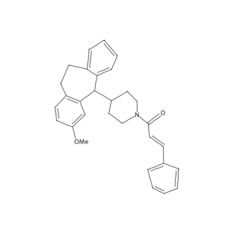 COc1ccc2c(c1)C(C1CCN(C(=O)C=Cc3ccccc3)CC1)c1ccccc1CC2